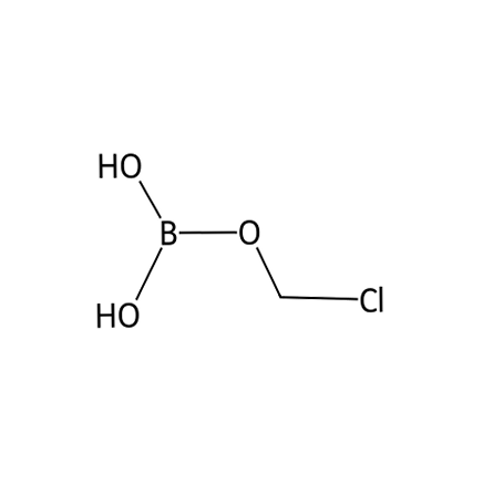 OB(O)OCCl